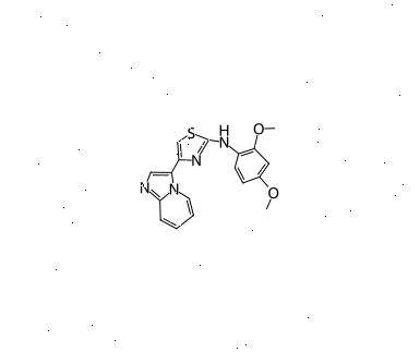 COc1ccc(Nc2nc(-c3cnc4ccccn34)cs2)c(OC)c1